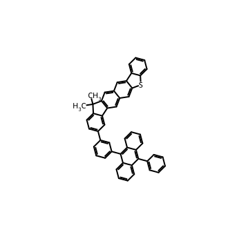 CC1(C)c2ccc(-c3cccc(-c4c5ccccc5c(-c5ccccc5)c5ccccc45)c3)cc2-c2cc3cc4sc5ccccc5c4cc3cc21